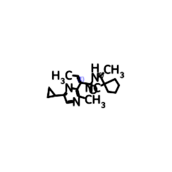 C/C=C(/C(=O)N[C@@H](C)C1(C#N)CCCC1)c1nc(C2CC2)cnc1C